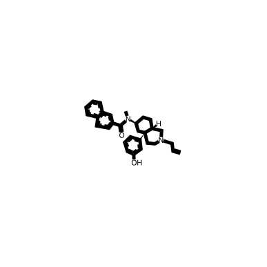 C=CCN1CC[C@@]2(c3cccc(O)c3)C[C@@H](N(C)C(=O)c3ccc4ccccc4c3)CC[C@@H]2C1